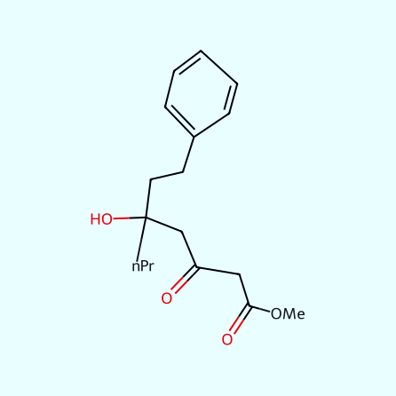 CCCC(O)(CCc1ccccc1)CC(=O)CC(=O)OC